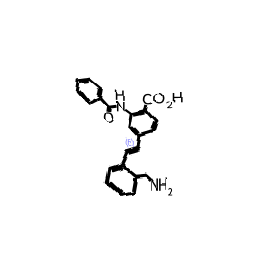 NCc1ccccc1/C=C/c1ccc(C(=O)O)c(NC(=O)c2ccccc2)c1